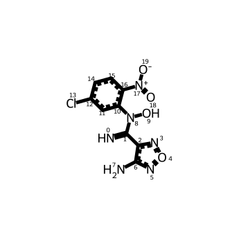 N=C(c1nonc1N)N(O)c1cc(Cl)ccc1[N+](=O)[O-]